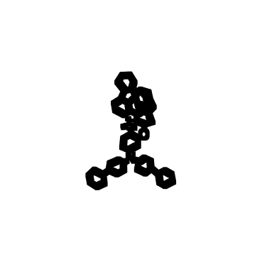 C[Si]1(C)c2ccc(N(c3ccc(-c4ccccc4)cc3)c3ccc(-c4ccccc4)cc3)cc2Oc2cccc(-c3cccc4c3C3(c5ccccc5-4)C4CC5CC(C4)CC3C5)c21